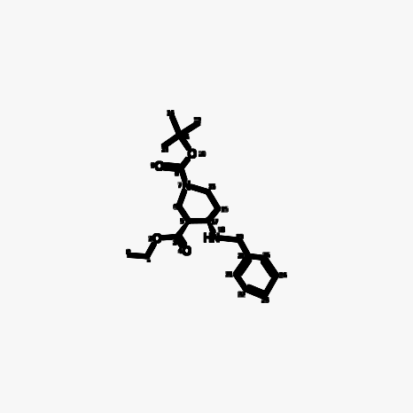 CCOC(=O)[C@H]1CN(C(=O)OC(C)(C)C)CC[C@H]1NCc1ccccc1